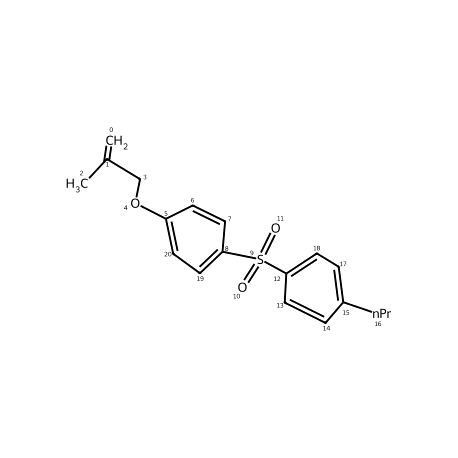 C=C(C)COc1ccc(S(=O)(=O)c2ccc(CCC)cc2)cc1